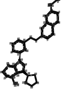 CCNc1ccc2ccc(CCc3cncc(-n4cc([C@H]5CCCO5)c5c(N)ncnc54)n3)cc2n1